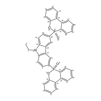 CCn1c2ccc(P3(=O)Oc4ccccc4-c4ccccc43)cc2c2cc(P3(=O)Oc4ccccc4-c4ccccc43)ccc21